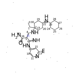 CCC1(N/C=C(\C(=N)Nc2ccnc(F)c2)C(N)=O)CCC(NC2CCCCC2)CC1